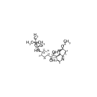 CCOc1ccc2nccc([C@H](O)[C@@H](O)[C@H]3CC[C@H](NC(=O)OC(C)(C)C)CC3)c2n1